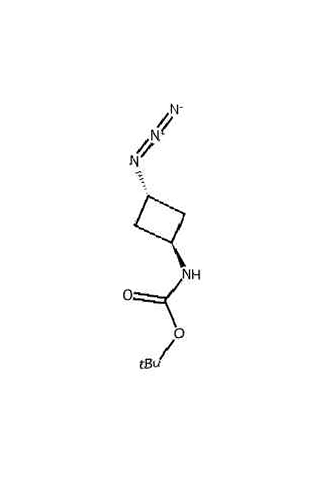 CC(C)(C)OC(=O)N[C@H]1C[C@H](N=[N+]=[N-])C1